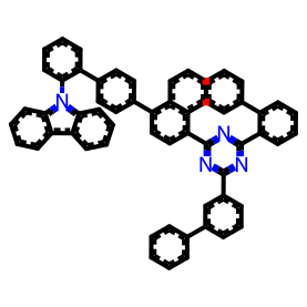 c1ccc(-c2cccc(-c3nc(-c4ccccc4-c4ccccc4)nc(-c4ccc(-c5ccc(-c6ccccc6-n6c7ccccc7c7ccccc76)cc5)c5ccccc45)n3)c2)cc1